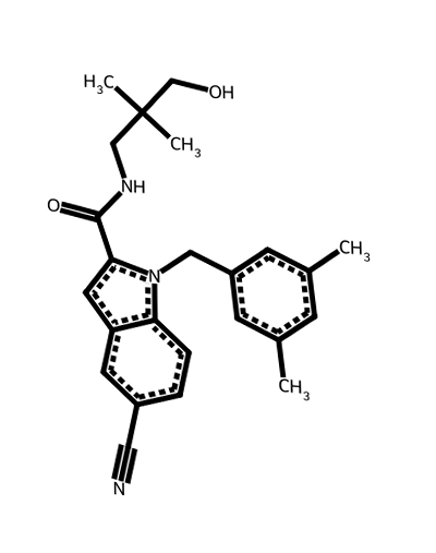 Cc1cc(C)cc(Cn2c(C(=O)NCC(C)(C)CO)cc3cc(C#N)ccc32)c1